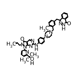 C=CCn1c(=O)c2cnc(Nc3ccc(N4CCN(Cc5cc(Cc6n[nH]c(=O)c7ccccc67)ccc5C)CC4)cc3)nc2n1-c1cccc(C(C)(C)O)n1